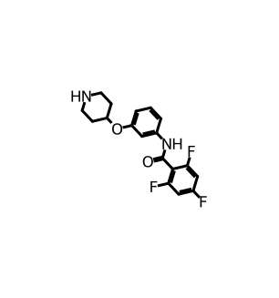 O=C(Nc1cccc(OC2CCNCC2)c1)c1c(F)cc(F)cc1F